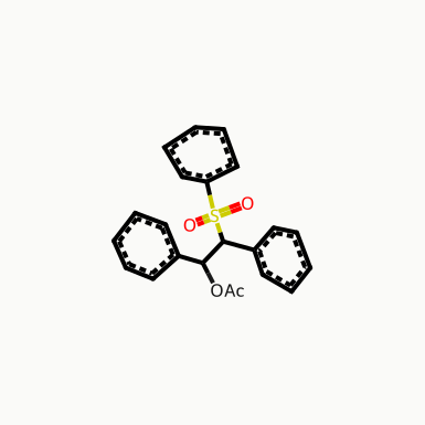 CC(=O)OC(c1ccccc1)C(c1ccccc1)S(=O)(=O)c1ccccc1